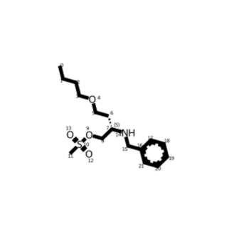 CCCCOCC[C@@H](COS(C)(=O)=O)NCc1ccccc1